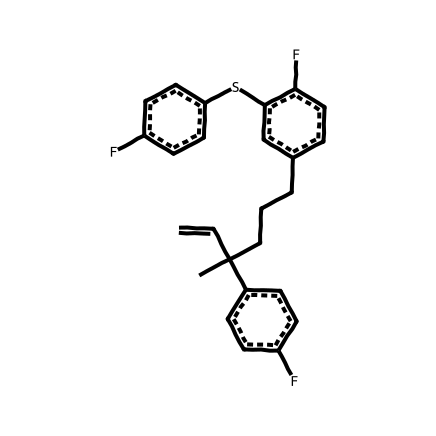 C=CC(C)(CCCc1ccc(F)c(Sc2ccc(F)cc2)c1)c1ccc(F)cc1